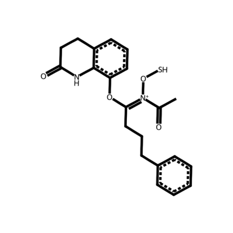 CC(=O)[N+](OS)=C(CCCc1ccccc1)Oc1cccc2c1NC(=O)CC2